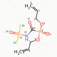 C=CCOP(=O)(OCC=C)C(=O)NP(=O)(F)F